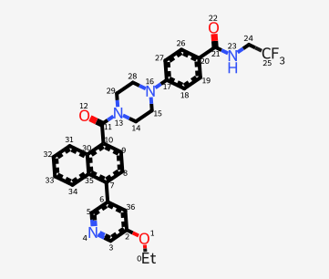 CCOc1cncc(-c2ccc(C(=O)N3CCN(c4ccc(C(=O)NCC(F)(F)F)cc4)CC3)c3ccccc23)c1